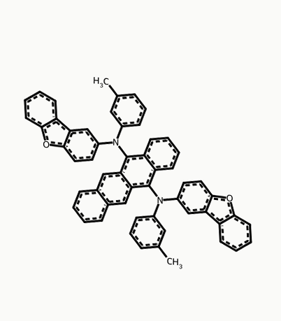 Cc1cccc(N(c2ccc3oc4ccccc4c3c2)c2c3ccccc3c(N(c3cccc(C)c3)c3ccc4oc5ccccc5c4c3)c3cc4ccccc4cc23)c1